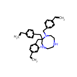 C=Cc1ccc(CN2CCNCCNCC2(Cc2ccc(C=C)cc2)Cc2ccc(C=C)cc2)cc1